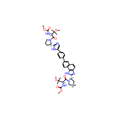 COC(=O)N[C@H](C(=O)N1CCC[C@H]1c1ncc(-c2ccc(-c3ccc4c(ccc5nc([C@@H]6C[Si](C)(C)CN6C(=O)[C@@H](NC(=O)OC)C(C)(C)OC)[nH]c54)c3)cc2)[nH]1)C(C)(C)OC